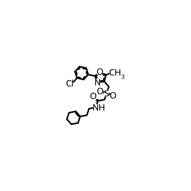 Cc1oc(-c2cccc(Cl)c2)nc1CS(=O)(=O)CC(=O)NCCC1=CCCCC1